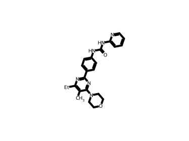 CCc1nc(-c2ccc(NC(=O)Nc3ccccn3)cc2)nc(N2CCOCC2)c1C